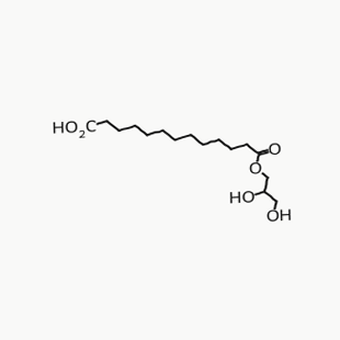 O=C(O)CCCCCCCCCCCC(=O)OCC(O)CO